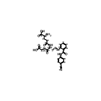 N#Cc1ccc(NC(=O)c2ccccc2[Se]SC[C@@H](NC(=O)CC[C@@H](N)C(=O)O)C(=O)NCC(=O)O)cc1